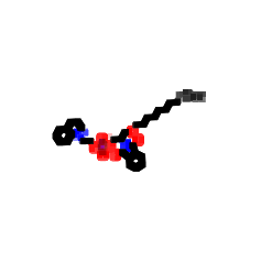 CCCCCCCCCCCCCCCCCCOCC(COP(=O)([O-])OCC[n+]1cccc2ccccc21)N1C(=O)c2ccccc2C1=O